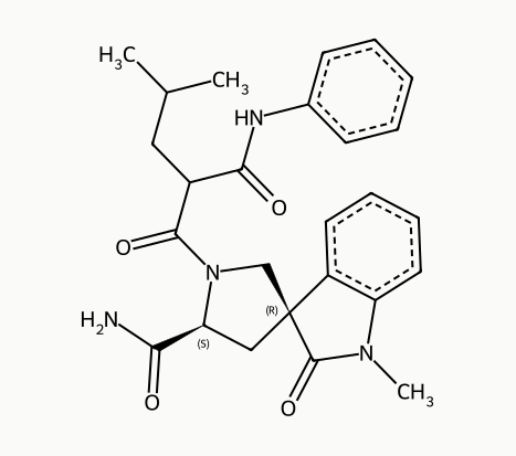 CC(C)CC(C(=O)Nc1ccccc1)C(=O)N1C[C@]2(C[C@H]1C(N)=O)C(=O)N(C)c1ccccc12